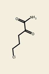 NC(=O)C(=O)CCCCl